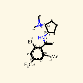 C=C(N[C@@H]1CCC[C@@H]1N(C)C)c1c(CC)cc(C(F)(F)F)cc1SC